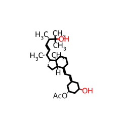 CC(=O)O[C@@H]1C/C(=C\C=C2/CCC[C@]3(C)[C@@H]([C@H](C)/C=C/[C@H](C)C(C)(C)O)CC[C@@H]23)C[C@@H](O)C1